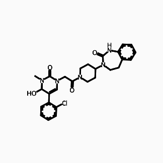 CN1C(=O)N(CC(=O)N2CCC(N3CCc4ccccc4NC3=O)CC2)C=C(c2ccccc2Cl)C1O